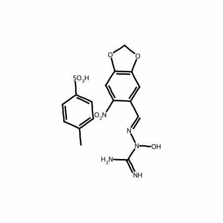 Cc1ccc(S(=O)(=O)O)cc1.N=C(N)N(O)N=Cc1cc2c(cc1[N+](=O)[O-])OCO2